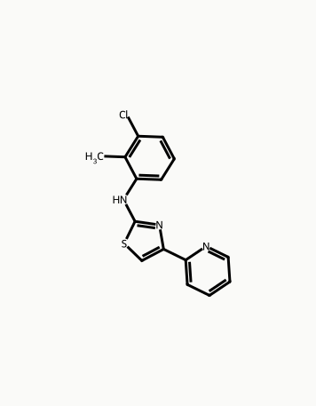 Cc1c(Cl)cccc1Nc1nc(-c2ccccn2)cs1